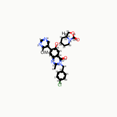 COc1ncncc1-c1cc2nc(C)n(Cc3ccc(Cl)cc3)c(=O)c2cc1O[C@H]1CCN2C(=O)OC[C@@H]2C1